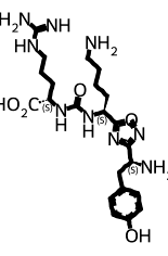 N=C(N)NCCC[C@H](NC(=O)N[C@@H](CCCCN)c1nc([C@@H](N)Cc2ccc(O)cc2)no1)C(=O)O